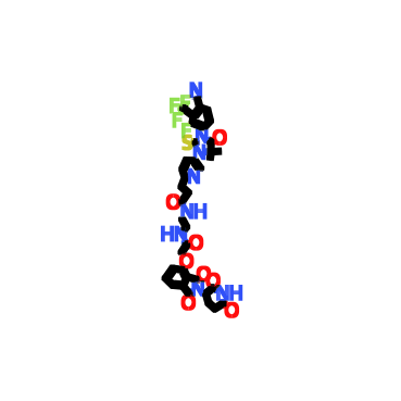 CC1(C)C(=O)N(c2ccc(C#N)c(C(F)(F)F)c2F)C(=S)N1c1ccc(CCC(=O)NCCNC(=O)COc2cccc3c2C(=O)N(C2CCC(=O)NC2=O)C3=O)nc1